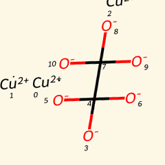 [Cu+2].[Cu+2].[Cu+2].[O-]C([O-])([O-])C([O-])([O-])[O-]